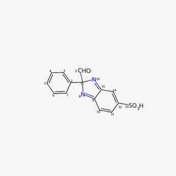 O=[C]C1(c2ccccc2)N=c2ccc(S(=O)(=O)O)cc2=N1